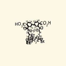 CCO[Si](C)(CCCNC(=O)c1cc(-c2ccc(C(=O)O)c(C(=O)NCCC[Si](OCC)(OCC)OCC)c2)ccc1C(=O)O)OCC